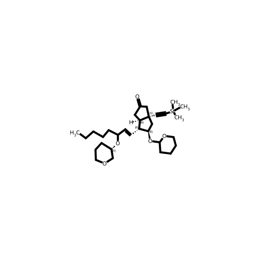 CCCCCC(C=C[C@@H]1[C@H]2CC(=O)C[C@@]2(C#C[Si](C)(C)C)C[C@H]1OC1CCCCO1)O[C@H]1CCCOC1